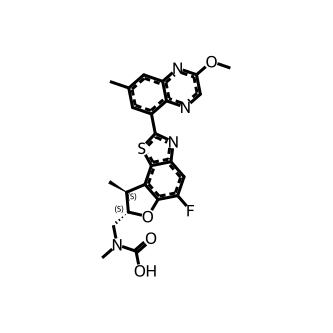 COc1cnc2c(-c3nc4cc(F)c5c(c4s3)[C@H](C)[C@@H](CN(C)C(=O)O)O5)cc(C)cc2n1